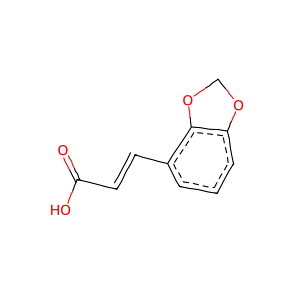 O=C(O)C=Cc1cccc2c1OCO2